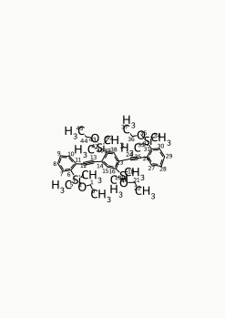 CCO[Si](C)(C)c1ccccc1C#Cc1cc([Si](C)(C)OCC)c(C#Cc2ccccc2[Si](C)(C)OCC)cc1[Si](C)(C)OCC